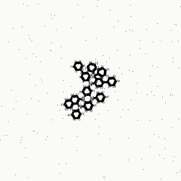 c1ccc(-c2ccc3c(c2)[Si](c2ccccc2)(c2ccccc2)c2cc(-c4ccccc4)ccc2N3c2ccc3c(c2)N(c2ccccc2)c2cccc4c2B3c2ccc3ccccc3c2N4c2ccccc2)cc1